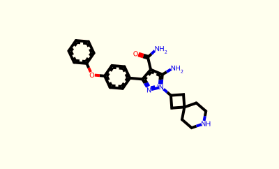 NC(=O)c1c(-c2ccc(Oc3ccccc3)cc2)nn(C2CC3(CCNCC3)C2)c1N